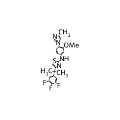 COc1cc(Nc2nc(C(C)(C)c3cc(F)c(F)c(F)c3)cs2)ccc1-n1cnc(C)c1